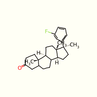 C[C@]12CCC(=O)CC1CCC1[C@@H]2CC[C@@]2(C)[C@H]1CC[C@]2(C)c1cccc(F)c1